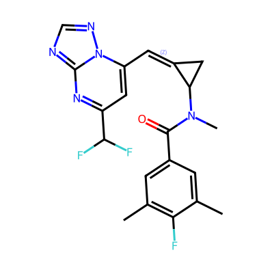 Cc1cc(C(=O)N(C)C2C/C2=C/c2cc(C(F)F)nc3ncnn23)cc(C)c1F